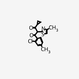 Cc1ccc(C(=O)C(C(=O)C2CC2)c2nc(C)cs2)c(Cl)c1